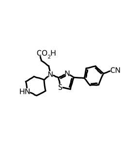 N#Cc1ccc(-c2csc(N(CCC(=O)O)C3CCNCC3)n2)cc1